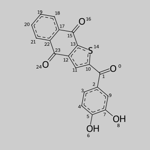 O=C(c1ccc(O)c(O)c1)c1cc2c(s1)C(=O)c1ccccc1C2=O